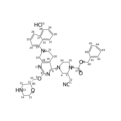 Cl.N#CCC1CN(c2nc(OC[C@H]3CNCCO3)nc3c2CCN(c2cccc4ccccc24)C3)CCN1C(=O)OCc1ccccc1